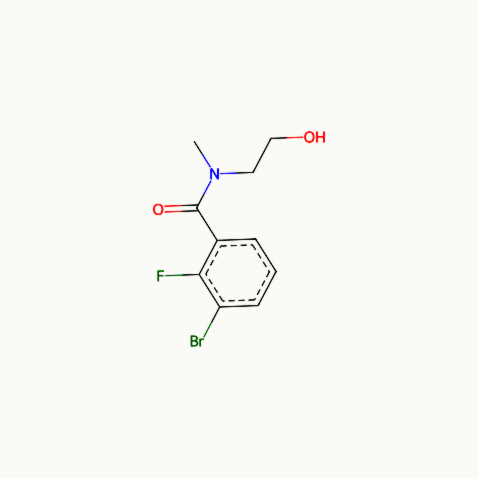 CN(CCO)C(=O)c1cccc(Br)c1F